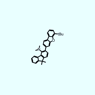 CN(C)c1c(-c2ccc3c(c2)oc2c(C(C)(C)C)cccc23)ccc2c1-c1ccccc1C2(C)C